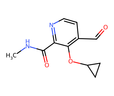 CNC(=O)c1nccc(C=O)c1OC1CC1